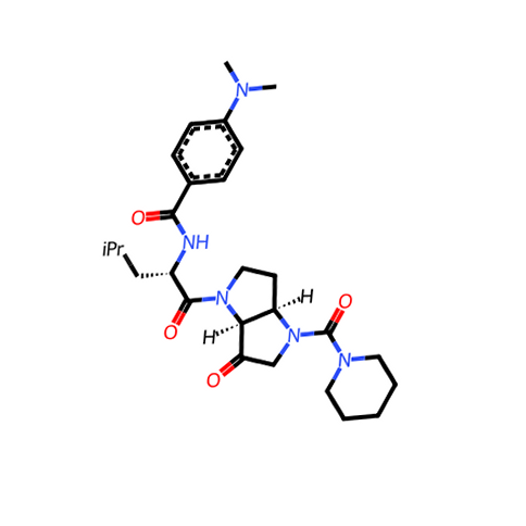 CC(C)C[C@H](NC(=O)c1ccc(N(C)C)cc1)C(=O)N1CC[C@@H]2[C@H]1C(=O)CN2C(=O)N1CCCCC1